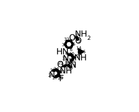 NC(=O)OC1CCC(Nc2cc(NC3CC3)c3ncc(C(=O)Nc4ccncc4F)n3n2)CC1